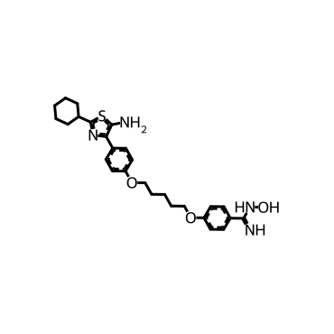 N=C(NO)c1ccc(OCCCCCOc2ccc(-c3nc(C4CCCCC4)sc3N)cc2)cc1